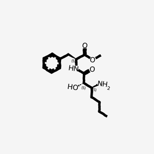 CCCC[C@H](N)[C@H](O)C(=O)N[C@@H](Cc1ccccc1)C(=O)OC